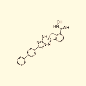 N=C(NO)c1cccc2c1CC/C2=N\n1cc(-c2ccc(-c3ccccc3)cc2)nc1N